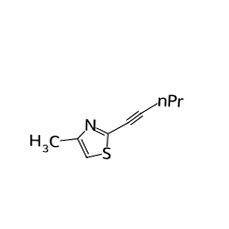 CCCC#Cc1nc(C)cs1